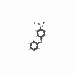 C[S+]([O-])c1ccc(Sc2ccccc2)cc1